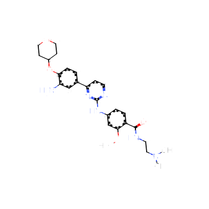 COc1cc(Nc2nccc(-c3ccc(OC4CCOCC4)c(N)c3)n2)ccc1C(=O)NCCN(C)C